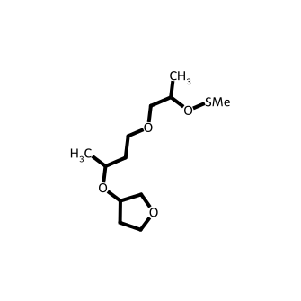 CSOC(C)COCCC(C)OC1CCOC1